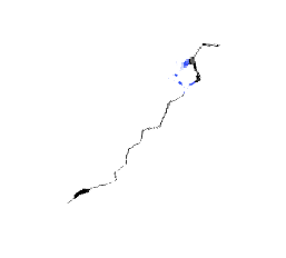 CC#CCCCCCCCCCn1cc(CC)nn1